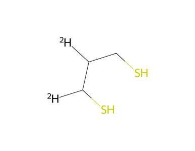 [2H]C(S)C([2H])CS